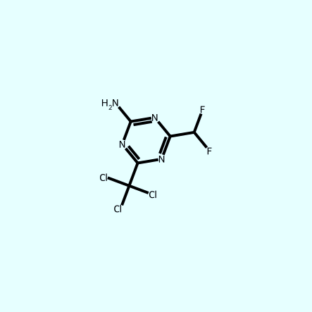 Nc1nc(C(F)F)nc(C(Cl)(Cl)Cl)n1